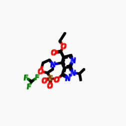 CCOC(=O)c1cnc2c3c(nn2C(C)C)OS(=O)(=O)C2CN(CCO2)c13.FC(F)F